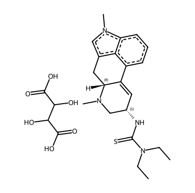 CCN(CC)C(=S)N[C@H]1C=C2c3cccc4c3c(cn4C)C[C@H]2N(C)C1.O=C(O)C(O)C(O)C(=O)O